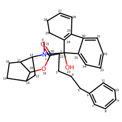 CN(CCCCc1ccccc1)C1CC2CCC1C2OC(=O)C1(O)C2=C(C=CCC2)c2ccccc21